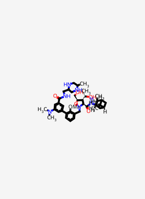 COc1c(CN2O[C@@H](CO)[C@H]([C@H](C)O)[C@H]2C(=O)N[C@H]2C[C@H]3C[C@@H]([C@@H]2C)C3(C)C)cccc1-c1cc(C(=O)NCC2CNC(C)CN2)cc(N(C)C)c1